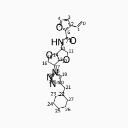 C=Cc1ccoc1C(=O)NC1COC2C1OCC2n1cc(CC2CCCCC2)nn1